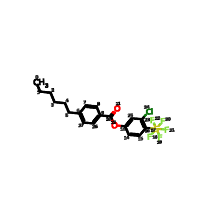 CCCCCCc1ccc(C(=O)Oc2ccc(S(F)(F)(F)(F)F)c(Cl)c2)cc1